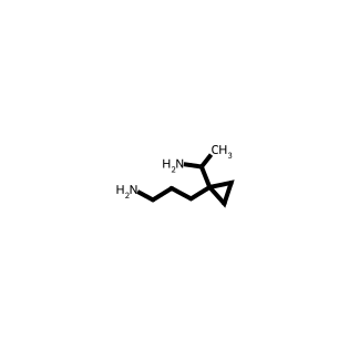 CC(N)C1(CCCN)CC1